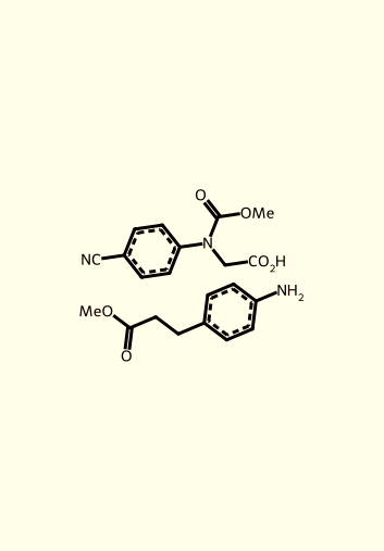 COC(=O)CCc1ccc(N)cc1.COC(=O)N(CC(=O)O)c1ccc(C#N)cc1